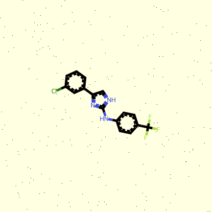 FC(F)(F)c1ccc(Nc2nc(-c3cccc(Cl)c3)c[nH]2)cc1